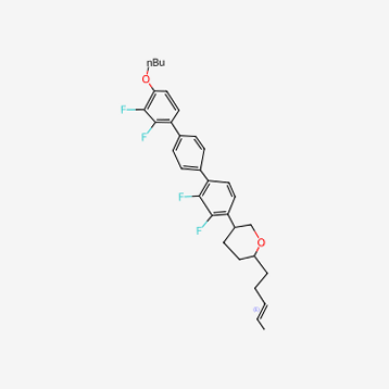 C/C=C/CCC1CCC(c2ccc(-c3ccc(-c4ccc(OCCCC)c(F)c4F)cc3)c(F)c2F)CO1